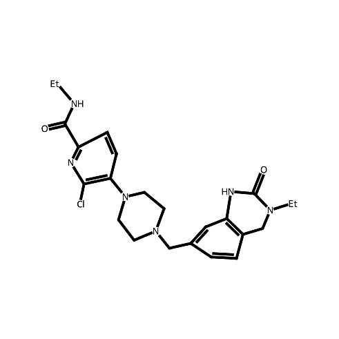 CCNC(=O)c1ccc(N2CCN(Cc3ccc4c(c3)NC(=O)N(CC)C4)CC2)c(Cl)n1